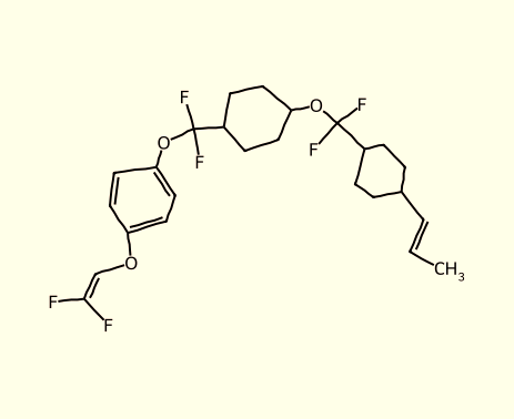 C/C=C/C1CCC(C(F)(F)OC2CCC(C(F)(F)Oc3ccc(OC=C(F)F)cc3)CC2)CC1